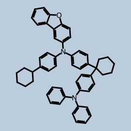 c1ccc(N(c2ccccc2)c2ccc(C3(c4ccc(N(c5ccc(C6CCCCC6)cc5)c5ccc6oc7ccccc7c6c5)cc4)CCCCC3)cc2)cc1